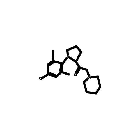 Cc1cc(Cl)cc(C)c1N1CCCC1C(=O)CN1CCCCC1